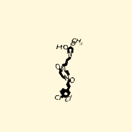 COC[C@@H]1CCN(CCCCN2CCN(C(=O)/C=C/c3ccc(Cl)c(Cl)c3)CCC2=O)C[C@@H]1O